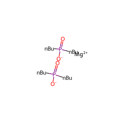 CCCCP(=O)([O-])CCCC.CCCCP(=O)([O-])CCCC.[Mg+2]